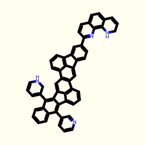 C1=CNCC(c2c3ccccc3c(-c3cccnc3)c3c4cccc5c6cc7c8ccc(-c9ccc%10ccc%11c(c%10n9)NCC=C%11)cc8c8cccc(c6cc(c23)c54)c87)=C1